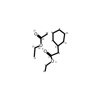 CCOC(=O)CC1CCCCC1.CCOC(C)=O